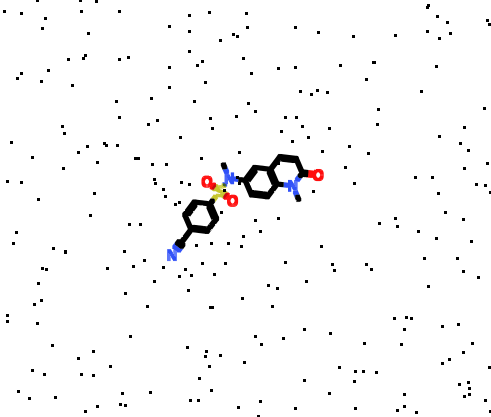 CN(c1ccc2c(ccc(=O)n2C)c1)S(=O)(=O)c1ccc(C#N)cc1